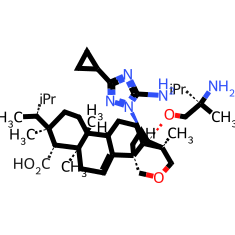 CC(C)[C@@H](C)[C@@]1(C)CC[C@]2(C)[C@H]3CC[C@@H]4[C@@]5(COC[C@]4(C)[C@@H](OC[C@](C)(N)C(C)C)[C@H](n4nc(C6CC6)nc4N)C5)C3=CC[C@@]2(C)[C@@H]1C(=O)O